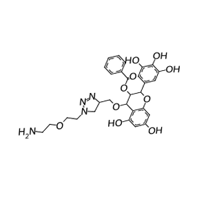 NCCOCCN1CC(COC2c3c(O)cc(O)cc3OC(c3cc(O)c(O)c(O)c3)C2OC(=O)c2ccccc2)N=N1